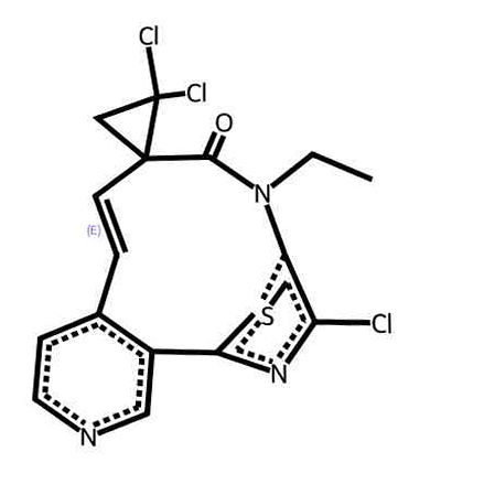 CCN1C(=O)C2(/C=C/c3ccncc3-c3nc(Cl)c1s3)CC2(Cl)Cl